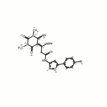 CN/C(CC(=O)Nc1cc(-c2ccc(Br)cc2)on1)=C1\C(=N)N(C)C(=O)N(C)C1=O